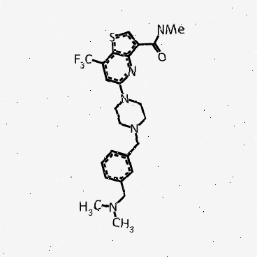 CNC(=O)c1csc2c(C(F)(F)F)cc(N3CCN(Cc4cccc(CN(C)C)c4)CC3)nc12